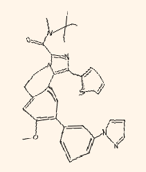 COc1cc2c(cc1-c1cccc(-n3cccn3)c1)-c1c(-c3cccs3)nc(C(=O)N(C)C(C)(C)C)n1CC2